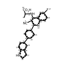 CC(Nc1c(C#N)c(-c2ccc(-c3ccc4[nH]ccc4c3)cc2)nc2ccc(F)cc12)C(=O)O